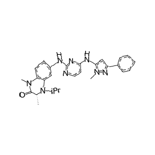 CC(C)N1c2cc(Nc3nccc(Nc4cc(-c5ccccc5)nn4C)n3)ccc2N(C)C(=O)[C@H]1C